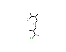 CC(Cl)C(C)COCC(C)C(C)Cl